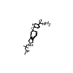 CN(C)CC(C)(C)CNC1Cc2ccc(Oc3ccc(C(N)=O)cn3)cc2C1